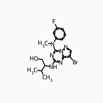 CC(C)C(CO)Nc1nc(N(C)c2cccc(F)c2)n2ncc(Br)c2n1